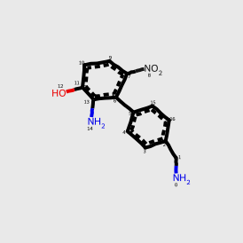 NCc1ccc(-c2c([N+](=O)[O-])ccc(O)c2N)cc1